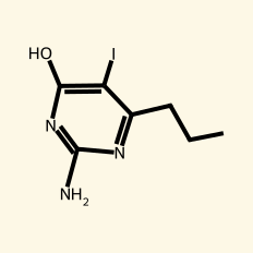 CCCc1nc(N)nc(O)c1I